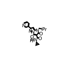 CC(C)Cn1c(=O)c(C(=O)NC2CC2)c(O)n2nc(-c3cccnc3)cc12